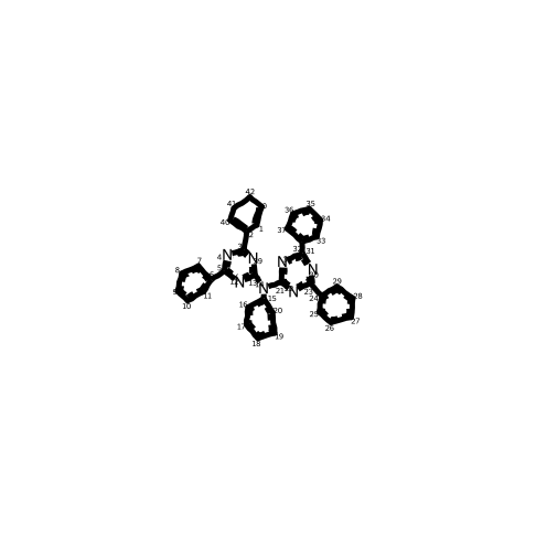 C1=CC(c2nc(-c3ccccc3)nc(N(c3ccccc3)c3nc(-c4ccccc4)nc(-c4ccccc4)n3)n2)=CCC1